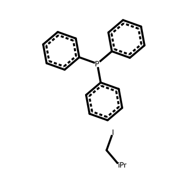 CC(C)CI.c1ccc(P(c2ccccc2)c2ccccc2)cc1